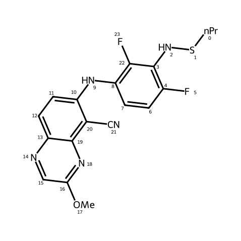 CCCSNc1c(F)ccc(Nc2ccc3ncc(OC)nc3c2C#N)c1F